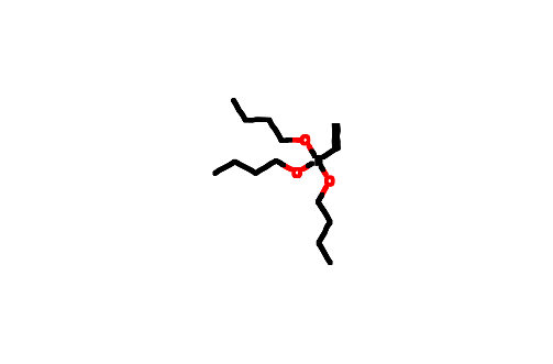 C=[CH][Ti]([O]CCCC)([O]CCCC)[O]CCCC